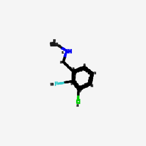 CC(C)(C)NCc1cccc(Cl)c1F